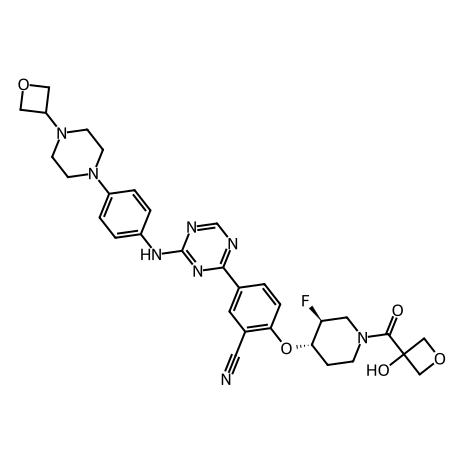 N#Cc1cc(-c2ncnc(Nc3ccc(N4CCN(C5COC5)CC4)cc3)n2)ccc1O[C@H]1CCN(C(=O)C2(O)COC2)C[C@@H]1F